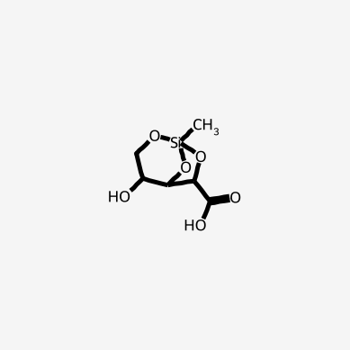 C[Si]12OCC(O)C(O1)C(C(=O)O)O2